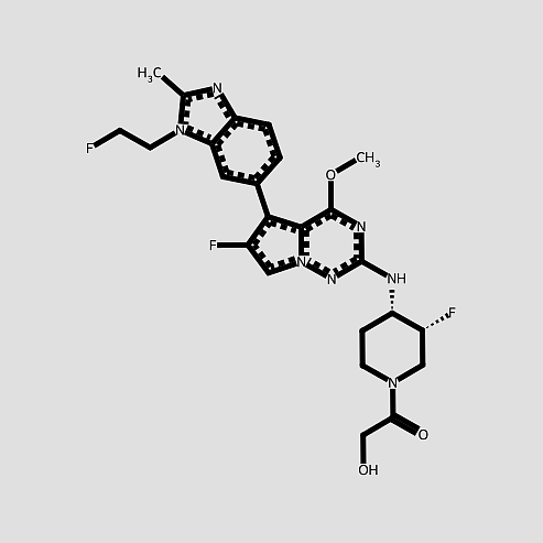 COc1nc(N[C@H]2CCN(C(=O)CO)C[C@H]2F)nn2cc(F)c(-c3ccc4nc(C)n(CCF)c4c3)c12